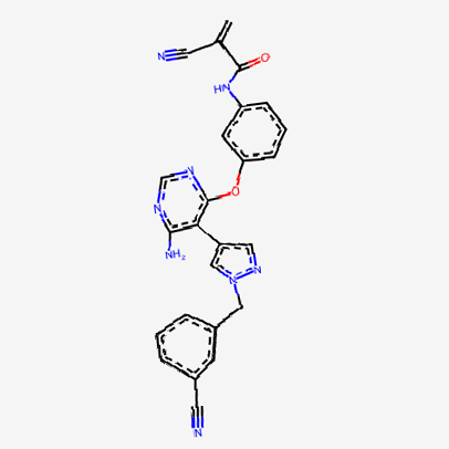 C=C(C#N)C(=O)Nc1cccc(Oc2ncnc(N)c2-c2cnn(Cc3cccc(C#N)c3)c2)c1